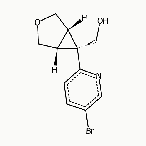 OC[C@]1(c2ccc(Br)cn2)[C@@H]2COC[C@@H]21